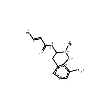 CC(=O)C=CC(=O)NC1Cc2cccc(C(=O)O)c2OB1O